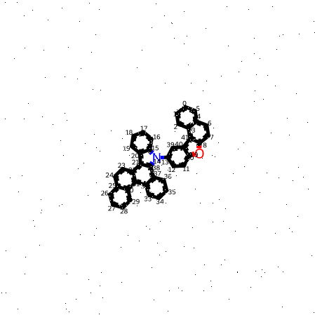 c1ccc2c(c1)ccc1oc3ccc(-n4c5ccccc5c5c6ccc7ccccc7c6c6ccccc6c54)cc3c12